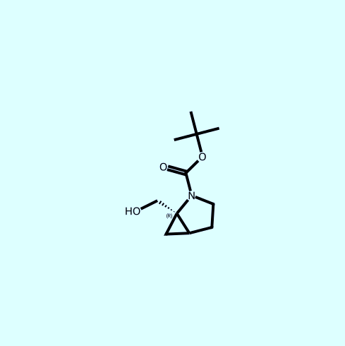 CC(C)(C)OC(=O)N1CCC2C[C@]21CO